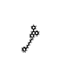 C(=C(c1ccccc1)c1ccccc1)C1CCN(CCCCCCCc2cccnc2)CC1